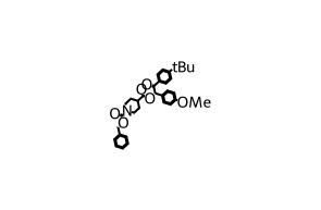 COc1ccc(C(OC(=O)C2CCN(C(=O)OCc3ccccc3)CC2)C(=O)c2ccc(C(C)(C)C)cc2)cc1